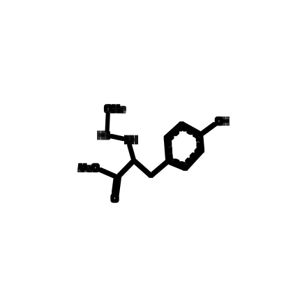 COBNC(Cc1ccc(O)cc1)C(=O)OC